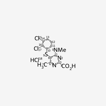 CNc1nc(C(=O)O)nc(C)c1Sc1cccc(Cl)c1Cl.Cl